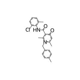 Cc1ccc(Cn2c(C)cc(=O)c(C(=O)Nc3c(C)cccc3Cl)c2C)cc1